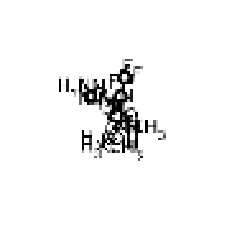 CNC(=O)C1(NC(=O)OC(C)(C)C)CCCN(c2cnc(-c3cc(F)c(F)cc3F)cc2C(O)c2cnc3c(N)nccn23)C1